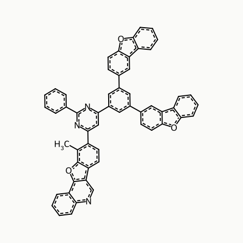 Cc1c(-c2cc(-c3cc(-c4ccc5oc6ccccc6c5c4)cc(-c4ccc5oc6ccccc6c5c4)c3)nc(-c3ccccc3)n2)ccc2c1oc1c3ccccc3ncc21